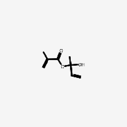 C=CC(C)(O)OC(=O)C(=C)C